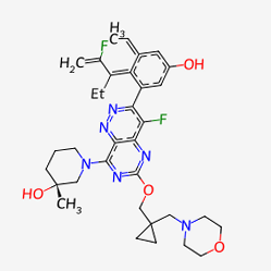 C=C(F)/C(CC)=c1/c(-c2nnc3c(N4CCC[C@@](C)(O)C4)nc(OCC4(CN5CCOCC5)CC4)nc3c2F)cc(O)c/c1=C/C